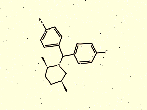 C[C@H]1CC[C@@H](C)N(C(c2ccc(F)cc2)c2ccc(F)cc2)C1